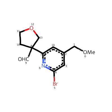 COCc1cc(Br)nc(C2(C=O)CCOC2)c1